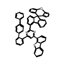 c1ccc(-c2ccc(-c3ccccc3-c3cc(-c4cccc5c4sc4ccccc45)nc(-c4cccc5c4-c4ccccc4C54c5ccccc5Oc5ccccc54)n3)cc2)cc1